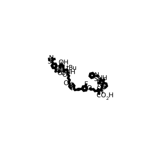 Cc1ncsc1-c1ccc(N(C)C(=O)[C@@H]2C[C@@H](O)CN2C(=O)[C@@H](NC(=O)CCCC(=O)N2CCN(CC#Cc3ccc(OCCCc4sc(N5CCCc6c5nnc(Nc5nc7ccccc7s5)c6C)nc4C(=O)O)c(F)c3)CC2)C(C)(C)C)cc1